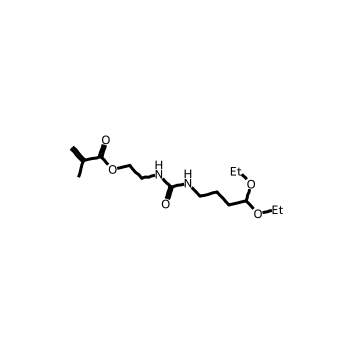 C=C(C)C(=O)OCCNC(=O)NCCCC(OCC)OCC